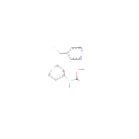 CN(C(=O)OC(C)(C)C)c1ccncc1.NCc1ccncc1